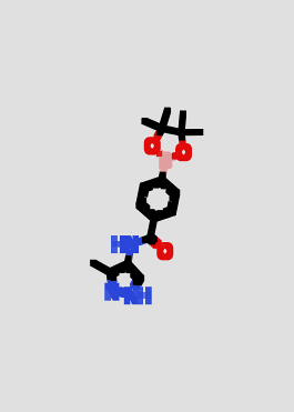 Cc1n[nH]cc1NC(=O)c1ccc(B2OC(C)(C)C(C)(C)O2)cc1